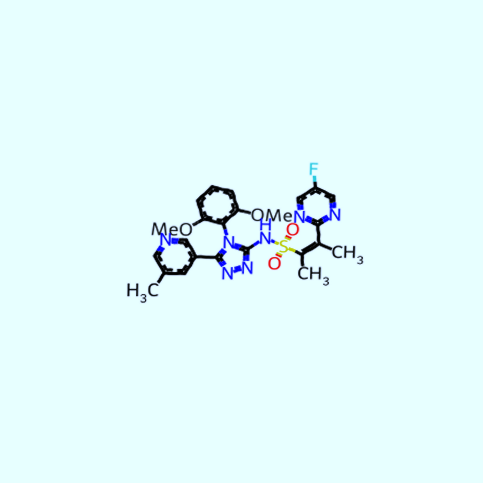 COc1cccc(OC)c1-n1c(NS(=O)(=O)C(C)=C(C)c2ncc(F)cn2)nnc1-c1cncc(C)c1